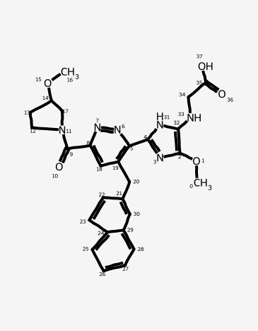 COc1nc(-c2nnc(C(=O)N3CCC(OC)C3)cc2Cc2ccc3ccccc3c2)[nH]c1NCC(=O)O